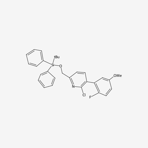 COc1ccc(F)c(-c2ccc(CO[Si](c3ccccc3)(c3ccccc3)C(C)(C)C)nc2Cl)c1